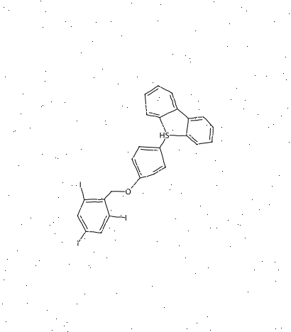 Ic1cc(I)c(COc2ccc([SH]3c4ccccc4-c4ccccc43)cc2)c(I)c1